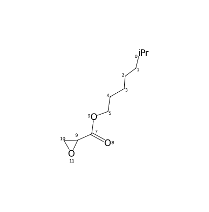 CC(C)CCCCCOC(=O)C1CO1